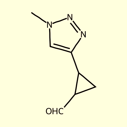 Cn1cc(C2CC2C=O)nn1